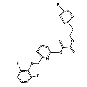 C=C(OCCc1ccc(F)cc1)C(=O)Oc1cccc(CSc2c(F)cccc2F)n1